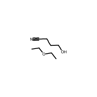 CCOCC.N#CCCCO